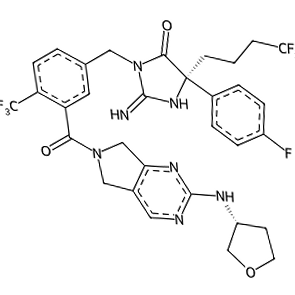 N=C1N[C@](CCCC(F)(F)F)(c2ccc(F)cc2)C(=O)N1Cc1ccc(C(F)(F)F)c(C(=O)N2Cc3cnc(N[C@@H]4CCOC4)nc3C2)c1